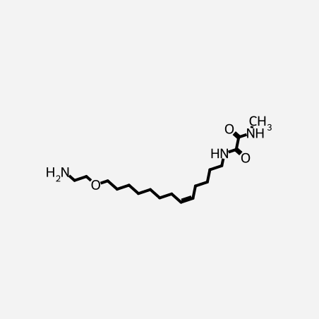 CNC(=O)C(=O)NCCCC/C=C\CCCCCCCOCCN